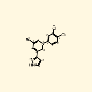 Clc1ccc(N2C=C(Br)C=C(c3cc[nH]n3)C2)cc1Cl